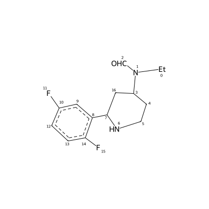 CCN(C=O)C1CCNC(c2cc(F)ccc2F)C1